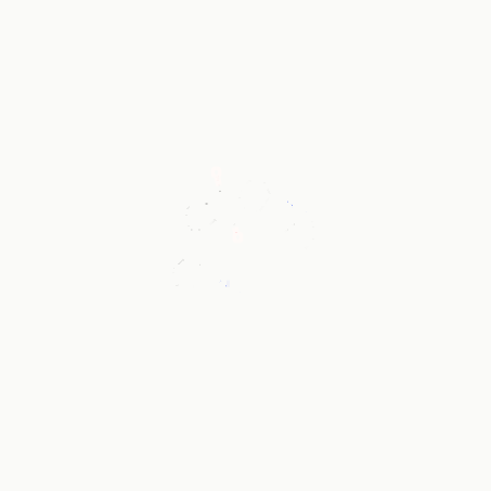 CCCCCc1ccc(Sc2cccc3c2C(=O)c2c(Sc4ccc(CCCCC)cc4N)cccc2C3=O)c(N)c1